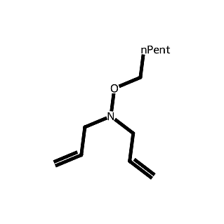 C=CCN(CC=C)OCCCCCC